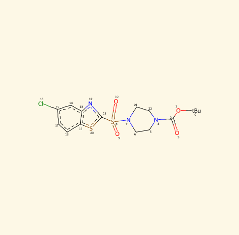 CC(C)(C)OC(=O)N1CCN(S(=O)(=O)c2nc3cc(Cl)ccc3s2)CC1